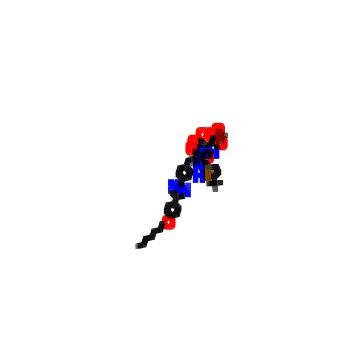 CCCCCCCOc1ccc(-c2cnc(-c3ccc(C[C@H](NC(=O)c4ccc(C(C)(C)C)s4)C(=O)NC(CCS(C)(=O)=O)C(=O)O)cc3)nc2)cc1